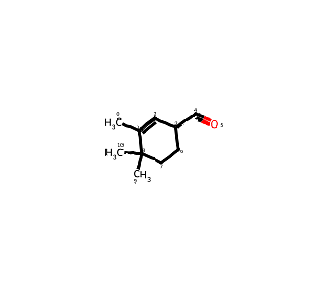 CC1=CC(C=O)CCC1(C)C